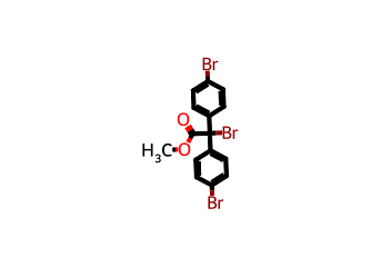 COC(=O)C(Br)(c1ccc(Br)cc1)c1ccc(Br)cc1